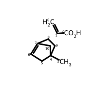 C=CC(=O)O.CC12CC=C(CC1)C2